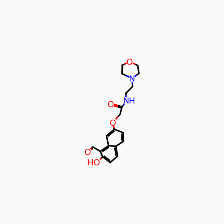 O=Cc1c(O)ccc2ccc(OCC(=O)NCCN3CCOCC3)cc12